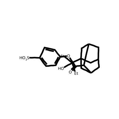 CCC(O)(CC)C12CC3CC(C1)C(C(=O)Oc1ccc(S(=O)(=O)O)cc1)C(C3)C2